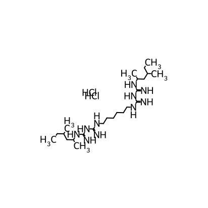 CCC(C)CC(C)NC(=N)NC(=N)NCCCCCCNC(=N)NC(=N)NC(C)CC(C)CC.Cl.Cl